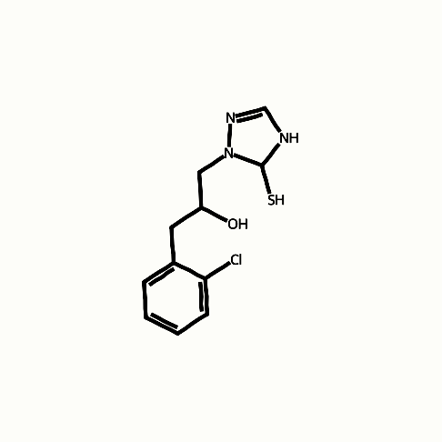 OC(Cc1ccccc1Cl)CN1N=CNC1S